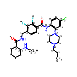 O=C(O)N[C@@H]1CCCC[C@H]1C(=O)NCc1ccc(C(=O)Nc2ccc(Cl)cc2N2CCN(CCC(F)(F)F)CC2)c(F)c1F